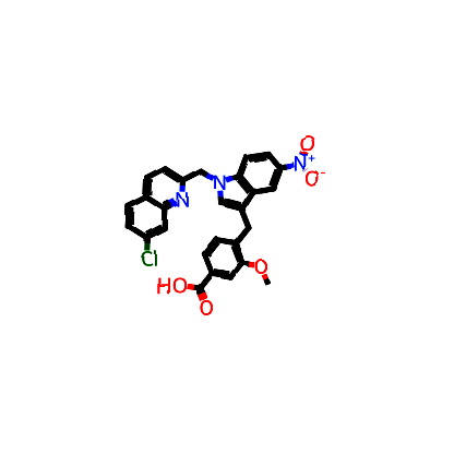 COc1cc(C(=O)O)ccc1Cc1cn(Cc2ccc3ccc(Cl)cc3n2)c2ccc([N+](=O)[O-])cc12